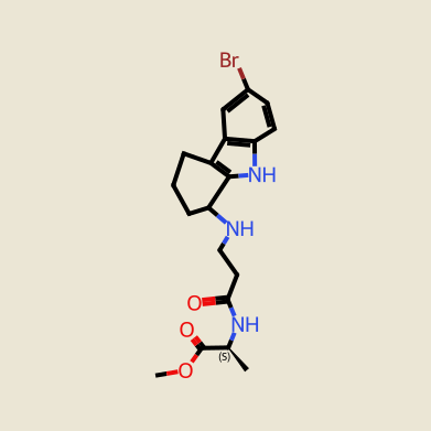 COC(=O)[C@H](C)NC(=O)CCNC1CCCc2c1[nH]c1ccc(Br)cc21